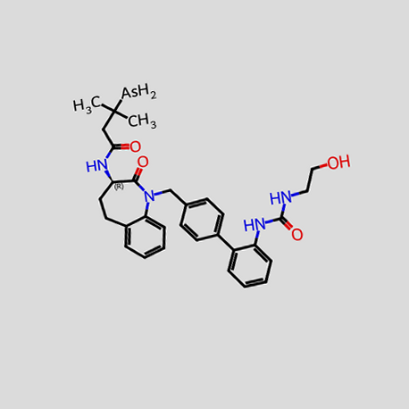 CC(C)([AsH2])CC(=O)N[C@@H]1CCc2ccccc2N(Cc2ccc(-c3ccccc3NC(=O)NCCO)cc2)C1=O